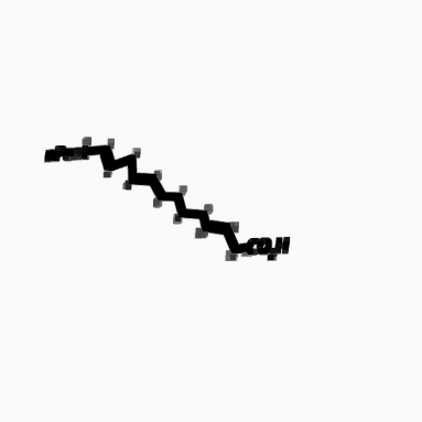 CCCCCC=CCC=CCCCCC=CCC(=O)O